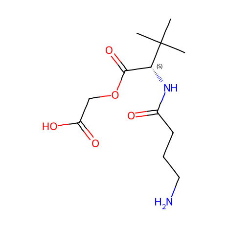 CC(C)(C)[C@H](NC(=O)CCCN)C(=O)OCC(=O)O